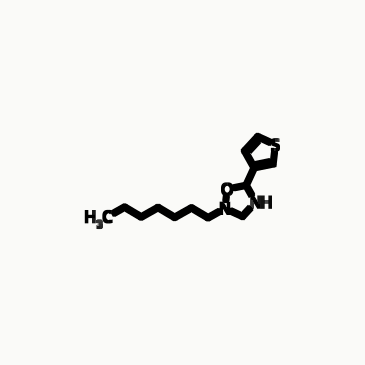 CCCCCCCN1CNC(c2ccsc2)O1